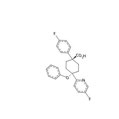 O=C(O)[C@]1(c2ccc(F)cc2)CC[C@](Oc2ccccc2)(c2ccc(F)cn2)CC1